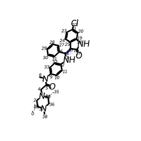 C[C@@H]1CN(CC(=O)N(C)c2ccc(N/C(=C3\C(=O)Nc4cc(Cl)ccc43)c3ccccc3)cc2)[C@H](C)CN1C